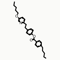 CCCCCOc1ccc(CCc2ccc(OC(=O)c3ccc(CCCCC)cc3)cc2)nc1